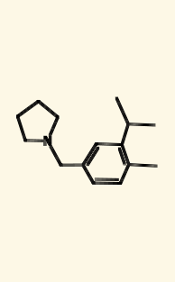 Cc1ccc(CN2CCCC2)cc1C(C)C